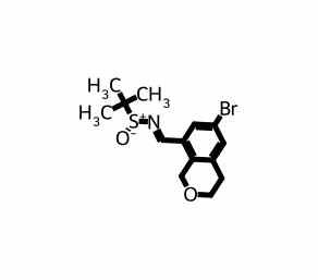 CC(C)(C)[S+]([O-])N=Cc1cc(Br)cc2c1COCC2